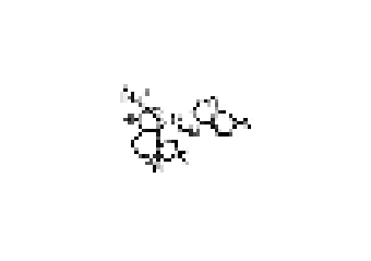 CN[C@@H](C)C(=O)N[C@H]1CCS[C@H]2CC(C)(C)[C@@H](C(=O)N[C@@H]3CCOc4cc(Cl)ccc43)N2C1=O